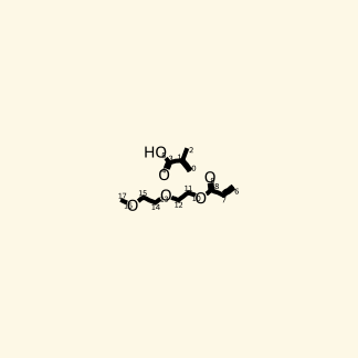 C=C(C)C(=O)O.C=CC(=O)OCCOCCOC